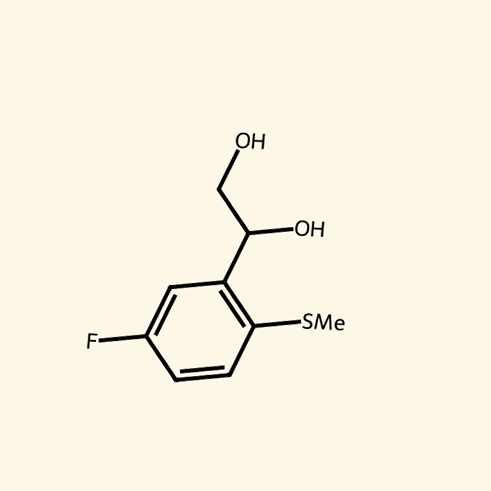 CSc1ccc(F)cc1C(O)CO